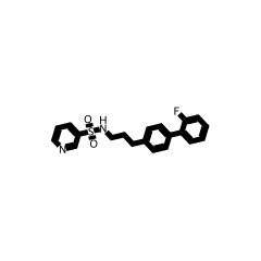 O=S(=O)(NCCCc1ccc(-c2ccccc2F)cc1)c1cccnc1